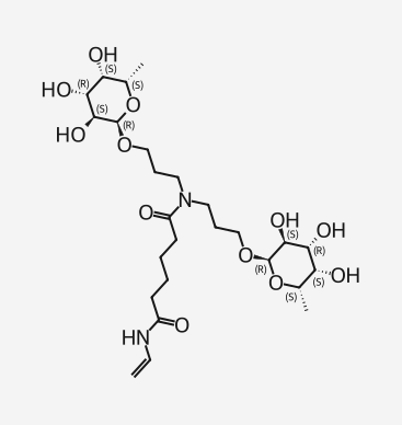 C=CNC(=O)CCCCC(=O)N(CCCO[C@@H]1O[C@@H](C)[C@@H](O)[C@@H](O)[C@@H]1O)CCCO[C@@H]1O[C@@H](C)[C@@H](O)[C@@H](O)[C@@H]1O